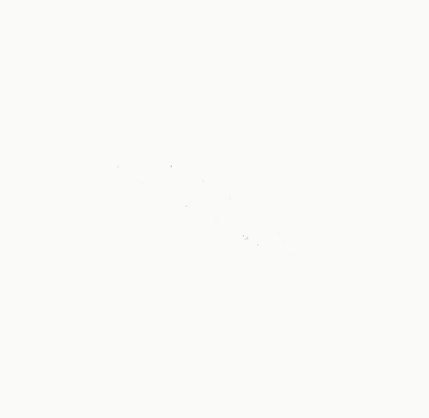 COCc1ccc2cc3cc(CS(C)(=O)=O)ccc3cc2c1